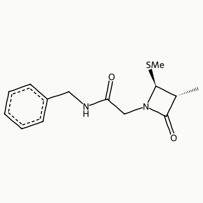 CS[C@H]1[C@H](C)C(=O)N1CC(=O)NCc1ccccc1